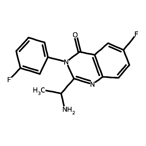 CC(N)c1nc2ccc(F)cc2c(=O)n1-c1cccc(F)c1